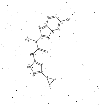 CC(C(=O)Nc1cc(C2CC2)n[nH]1)c1cn2cc(Cl)ccc2n1